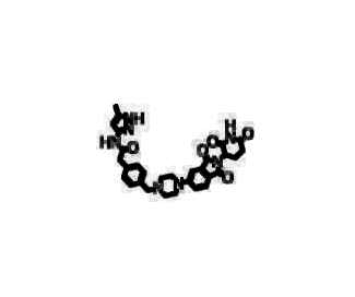 Cc1cc(NC(=O)Cc2ccc(CN3CCN(c4ccc5c(c4)C(=O)N(C4CCC(=O)NC4=O)C5=O)CC3)cc2)n[nH]1